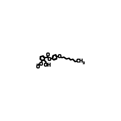 CCCCCCCCOc1ccc(OC(=O)c2cccc(O[C]=O)c2CO)cc1